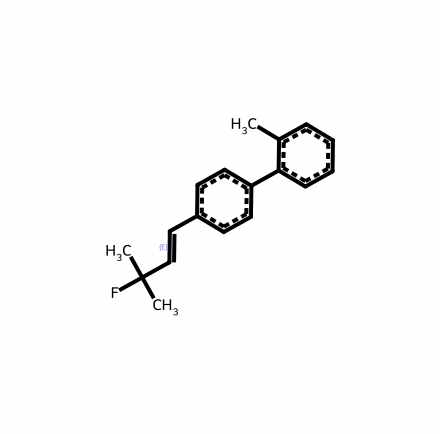 Cc1ccccc1-c1ccc(/C=C/C(C)(C)F)cc1